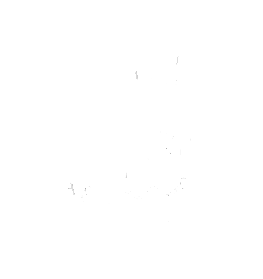 CCc1ccc(NS(=O)(=O)c2ccc(F)c(F)c2)c(C(=O)O)c1